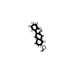 COc1ccc2cc3c(cc2c1)sc1ccccc13